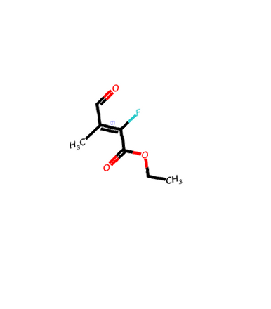 CCOC(=O)/C(F)=C(\C)C=O